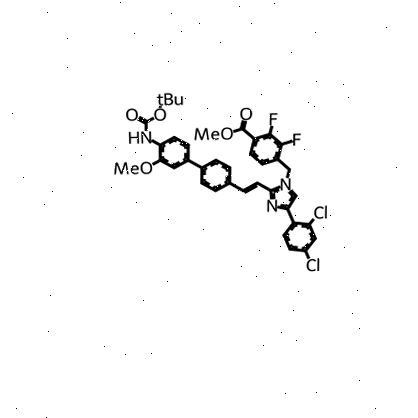 COC(=O)c1ccc(Cn2cc(-c3ccc(Cl)cc3Cl)nc2C=Cc2ccc(-c3ccc(NC(=O)OC(C)(C)C)c(OC)c3)cc2)c(F)c1F